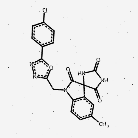 Cc1ccc2c(c1)C1(NC(=O)NC1=O)C(=O)N2Cc1nnc(-c2ccc(Cl)cc2)o1